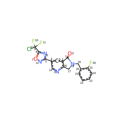 O=C1c2cc(-c3noc(C(F)(F)Cl)n3)cnc2CN1Cc1ccccc1F